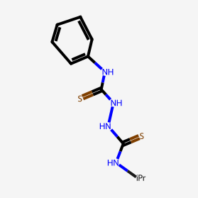 CC(C)NC(=S)NNC(=S)Nc1ccccc1